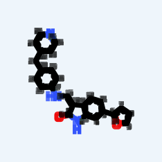 O=C1Nc2cc(-c3ccco3)ccc2/C1=C/Nc1ccc(Cc2ccncc2)cc1